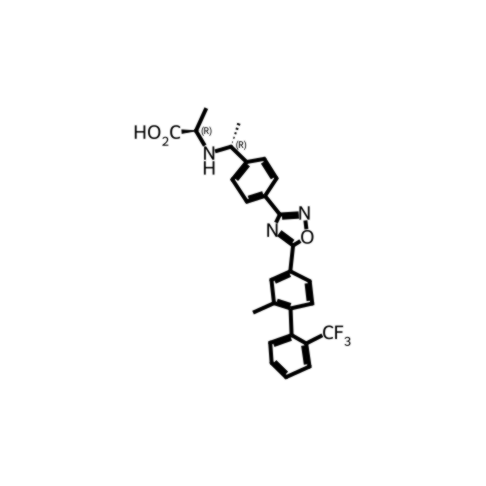 Cc1cc(-c2nc(-c3ccc([C@@H](C)N[C@H](C)C(=O)O)cc3)no2)ccc1-c1ccccc1C(F)(F)F